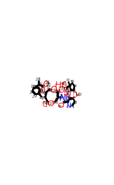 COc1ccnc(C(=O)N[C@H]2COC(=O)[C@H](Cc3ccccc3)[C@@H](OC(=O)C(C)C)[C@H](C)OC2=O)c1OC1CCCC1(C)C(=O)O